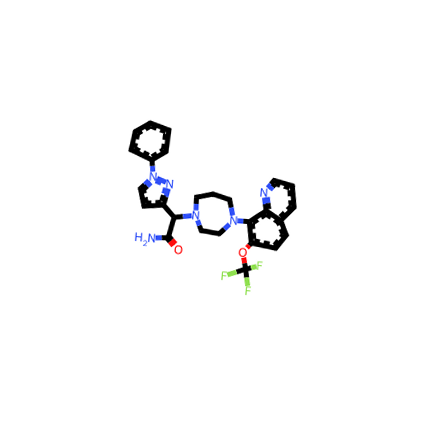 NC(=O)C(c1ccn(-c2ccccc2)n1)N1CCCN(c2c(OC(F)(F)F)ccc3cccnc23)CC1